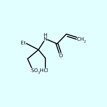 C=CC(=O)NC(CC)(CCl)CS(=O)(=O)O